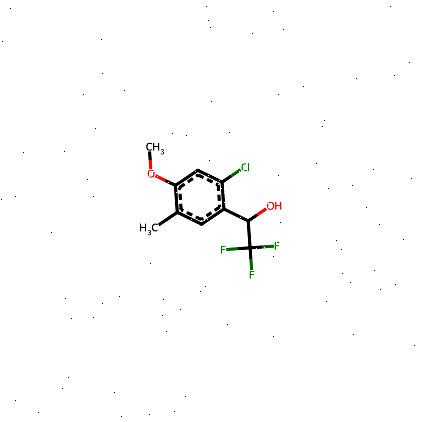 COc1cc(Cl)c(C(O)C(F)(F)F)cc1C